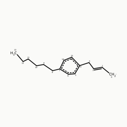 [CH2]C=CCc1ccc(CCCCCC)cc1